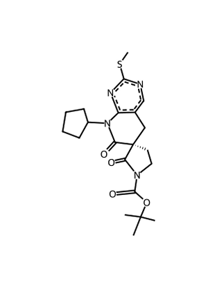 CSc1ncc2c(n1)N(C1CCCC1)C(=O)[C@@]1(CCN(C(=O)OC(C)(C)C)C1=O)C2